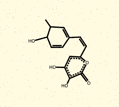 CC1C=C(/C=C\c2cc(O)c(O)c(=O)o2)C=CC1O